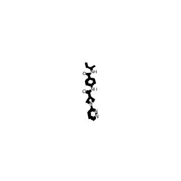 CCC(C)NC(=O)c1ccc(NC(=O)C2CN(c3cccnn3)C2)cc1